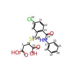 O=C(O)CC(S[Se]c1cc(Cl)ccc1C(=O)Nc1ccccc1)C(=O)O